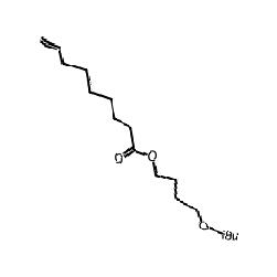 C=CCCCCCCC(=O)OCCCCOC(C)CC